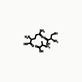 CC(N)C(=O)O.NC(=O)CCC(N)C(=O)O.N[C@H](CS)C(=O)O